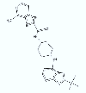 Cc1cccc2[nH]c(C(=O)N[C@H]3CC[C@@H](Nc4cccc5nc(C(F)(F)F)cn45)CC3)nc12